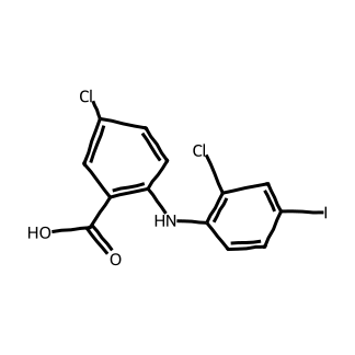 O=C(O)c1cc(Cl)ccc1Nc1ccc(I)cc1Cl